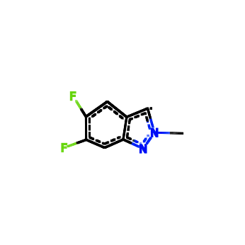 Cn1[c]c2cc(F)c(F)cc2n1